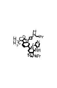 CC(C)CN[C@H]1C[C@@H](N2C(=O)C(C)(C)c3ccc(-c4cc5ncn(C(C)C)c5c(Nc5ccncc5F)n4)cc32)C1